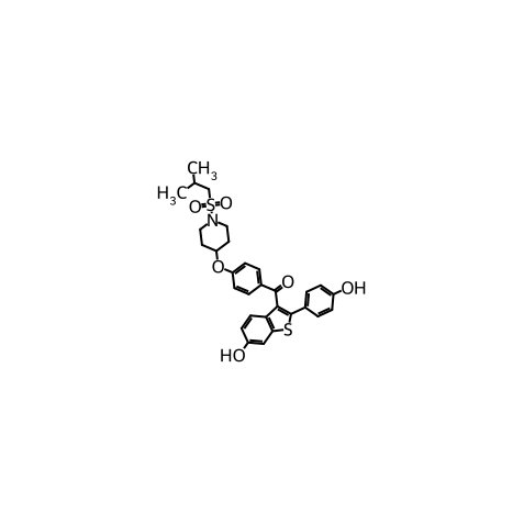 CC(C)CS(=O)(=O)N1CCC(Oc2ccc(C(=O)c3c(-c4ccc(O)cc4)sc4cc(O)ccc34)cc2)CC1